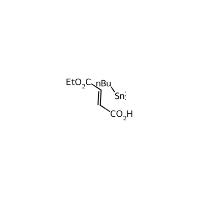 CCC[CH2][Sn].CCOC(=O)C=CC(=O)O